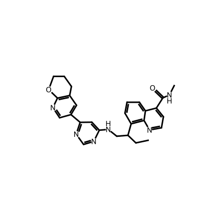 CCC(CNc1cc(-c2cnc3c(c2)CCCO3)ncn1)c1cccc2c(C(=O)NC)ccnc12